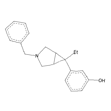 CCC1(c2cccc(O)c2)C2CN(Cc3ccccc3)CC21